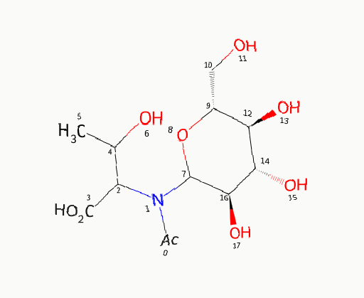 CC(=O)N(C(C(=O)O)C(C)O)C1O[C@H](CO)[C@@H](O)[C@H](O)[C@H]1O